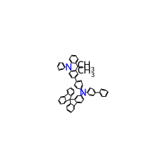 CC1(C)c2ccccc2N(c2ccccc2)c2ccc(-c3ccc(N(c4ccc(-c5ccccc5)cc4)c4ccc5c(c4)C4(c6ccccc6-c6ccccc64)c4ccccc4-5)cc3)cc21